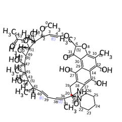 CO[C@H]1/C=C/O[C@@]2(C)Oc3c(C)c(O)c4c(O)c(c(CCN5CCCCC5)c(O)c4c3C2=O)NC(=O)/C(C)=C\C=C\[C@H](C)[C@H](O)[C@@H](C)[C@@H](O)[C@@H](C)[C@H](OC(C)=O)[C@@H]1C